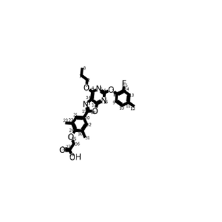 CCCOc1nc(Oc2ccc(C)cc2F)nc2oc(-c3cc(C)c(OCC(=O)O)c(C)c3)nc12